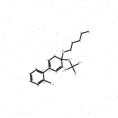 CCCCCOC1(OC(F)(F)F)C=CC(c2ccccc2F)=CC1